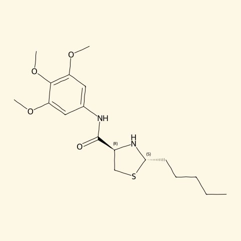 CCCCC[C@H]1N[C@H](C(=O)Nc2cc(OC)c(OC)c(OC)c2)CS1